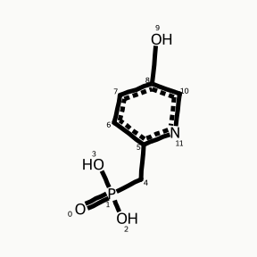 O=P(O)(O)Cc1ccc(O)cn1